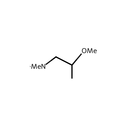 C[N]CC(C)OC